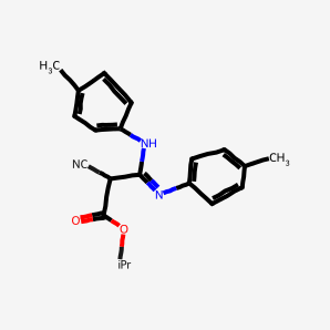 Cc1ccc(N=C(Nc2ccc(C)cc2)C(C#N)C(=O)OC(C)C)cc1